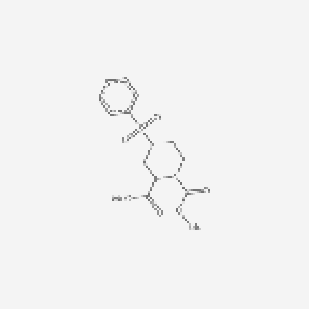 COC(=O)C1CN(S(=O)(=O)c2ccccc2)CCN1C(=O)OC(C)(C)C